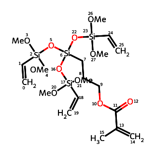 C=C[Si](OC)(OC)O[Si](CCCOC(=O)C(=C)C)(O[Si](C=C)(OC)OC)O[Si](C=C)(OC)OC